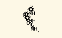 NC/C=C/C(=O)Nc1ccc2nccc(Nc3ccccc3)c2c1